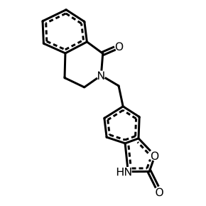 O=C1c2ccccc2CCN1Cc1ccc2[nH]c(=O)oc2c1